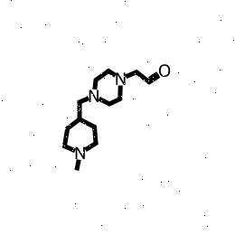 CN1CCC(CN2CCN(CC=O)CC2)CC1